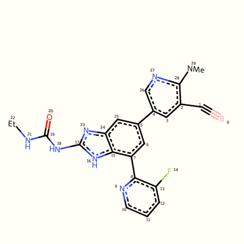 B#Cc1cc(-c2cc(-c3ncccc3F)c3[nH]c(NC(=O)NCC)nc3c2)cnc1NC